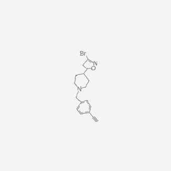 C#Cc1ccc(CN2CCC(C3CC(Br)=NO3)CC2)cc1